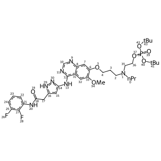 CCCN(CCCOc1cc2ncnc(Nc3cc(CC(=O)Nc4cccc(F)c4F)[nH]n3)c2cc1OC)CCOP(=O)(OC(C)(C)C)OC(C)(C)C